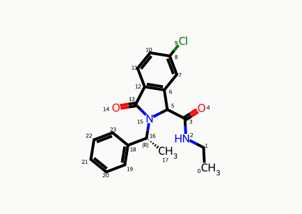 CCNC(=O)C1c2cc(Cl)ccc2C(=O)N1[C@H](C)c1ccccc1